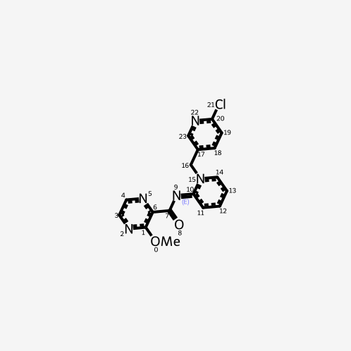 COc1nccnc1C(=O)/N=c1\ccccn1Cc1ccc(Cl)nc1